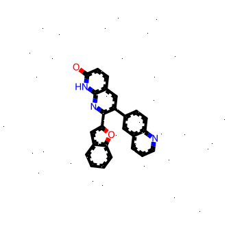 O=c1ccc2cc(-c3ccc4ncccc4c3)c(-c3cc4ccccc4o3)nc2[nH]1